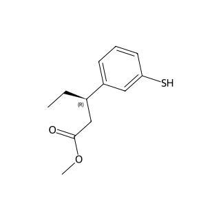 CC[C@H](CC(=O)OC)c1cccc(S)c1